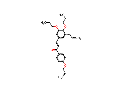 C=CCOc1ccc(C(=O)C=Cc2cc(CC=C)c(OCCC)c(OCCC)c2)cc1